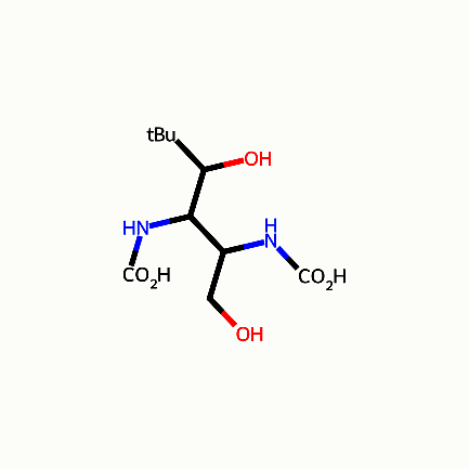 CC(C)(C)C(O)C(NC(=O)O)C(CO)NC(=O)O